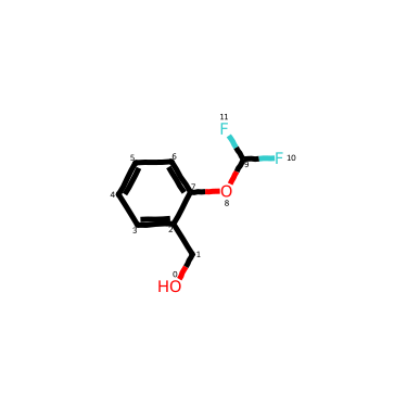 OCc1ccccc1OC(F)F